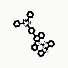 c1ccc(-c2nc(-c3ccccc3)nc(-c3ccc(-c4cc5c6ccccc6n(-c6nc7ccccc7c7nc8ccccc8n67)c5c5ccccc45)cc3)n2)cc1